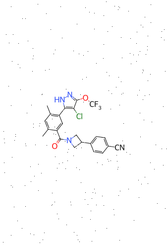 Cc1cc(C)c(-c2[nH]nc(OC(F)(F)F)c2Cl)cc1C(=O)N1CC(c2ccc(C#N)cc2)C1